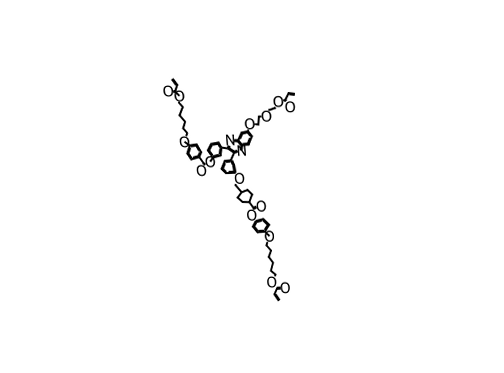 C=CC(=O)OCCCCCCOc1ccc(OC(=O)C2CCC(COc3cccc(-c4nc5ccc(OCCOCCOC(=O)C=C)cc5nc4-c4cccc(OC(=O)c5ccc(OCCCCCCOC(=O)C=C)cc5)c4)c3)CC2)cc1